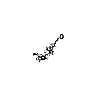 NC(=O)c1c(OCc2cc(C(=O)NC3CC3)c(F)cc2F)nsc1NC(=O)NCCCCN1CCCC1